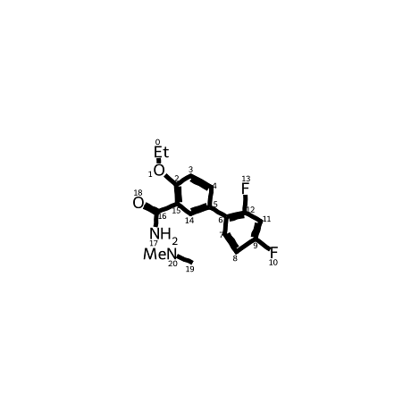 CCOc1ccc(-c2ccc(F)cc2F)cc1C(N)=O.CNC